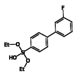 CCO[Si](O)(OCC)c1ccc(-c2cccc(F)c2)cc1